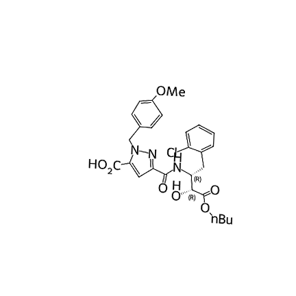 CCCCOC(=O)[C@H](O)[C@@H](Cc1ccccc1Cl)NC(=O)c1cc(C(=O)O)n(Cc2ccc(OC)cc2)n1